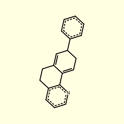 C1=C2CCc3cccnc3C2=CCC1c1ccccc1